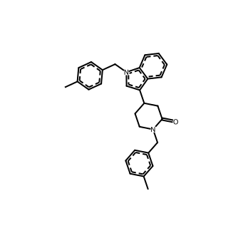 Cc1ccc(Cn2cc(C3CCN(Cc4cccc(C)c4)C(=O)C3)c3ccccc32)cc1